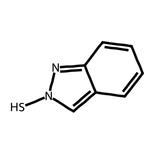 Sn1cc2ccccc2n1